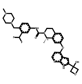 C[C@H]1c2cc(Oc3ccnc4[nH]c(C5(O)COC5)cc34)ccc2CCN1C(=O)Nc1ccc(CN2CCN(C)CC2)c(C(F)F)c1